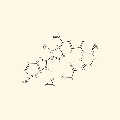 COc1cc(C(=O)N2C[C@H](NC(=O)OC(C)(C)C)CC[C@@H]2C)cc2nc(-c3cc4ccc(C=O)nc4n3CC3CC3)n(C)c12